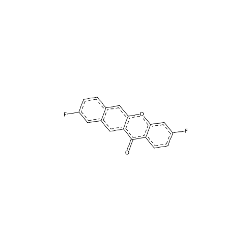 O=c1c2ccc(F)cc2oc2cc3ccc(F)cc3cc12